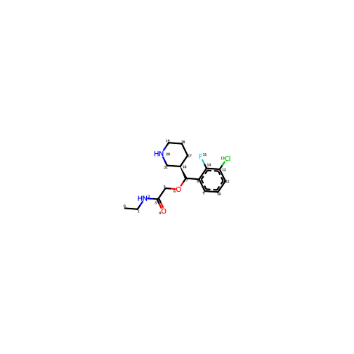 CCNC(=O)COC(c1cccc(Cl)c1F)[C@@H]1CCCNC1